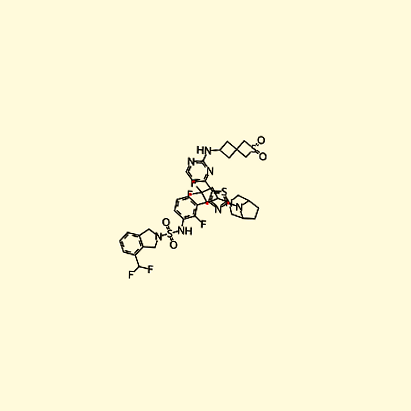 O=S1(=O)CC2(CC(Nc3nccc(-c4sc(N5C6CCC5CN(C5CC(F)(F)C5)C6)nc4-c4cccc(NS(=O)(=O)N5Cc6cccc(C(F)F)c6C5)c4F)n3)C2)C1